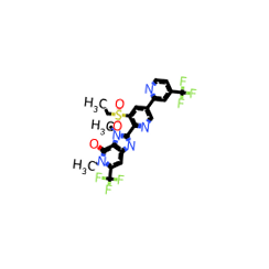 CCS(=O)(=O)c1cc(-c2cc(C(F)(F)F)ccn2)cnc1-c1nc2cc(C(F)(F)F)n(C)c(=O)c2n1C